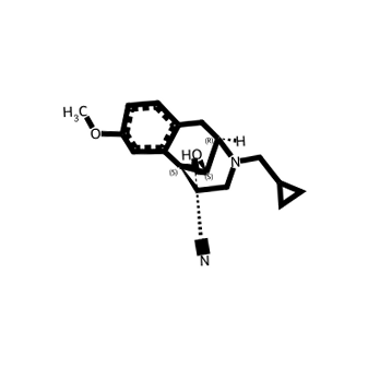 COc1ccc2c(c1)[C@]13CCN(CC4CC4)[C@H](C2)[C@]1(O)C[C@@H](C#N)C3